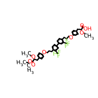 CCOC(Cc1ccc(OCCCc2ccc(-c3ccc(CCCOc4ccc(CC(OCC)C(=O)OC(C)C)cc4)c(C(F)(F)F)c3)cc2C(F)(F)F)cc1)C(=O)O